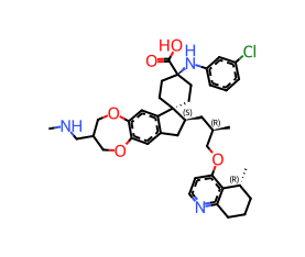 CNCC1COc2cc3c(cc2OC1)[C@]1(CC[C@@](Nc2cccc(Cl)c2)(C(=O)O)CC1)[C@@H](C[C@@H](C)COc1ccnc2c1[C@H](C)CCC2)C3